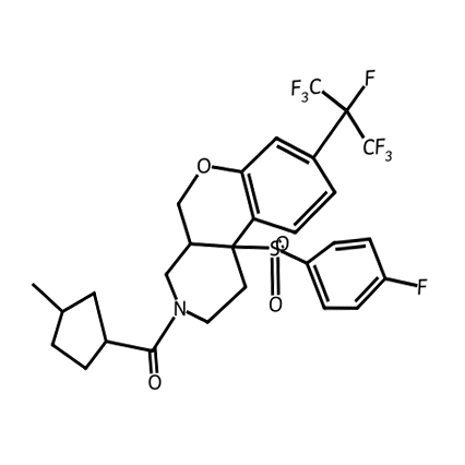 CC1CCC(C(=O)N2CCC3(S(=O)(=O)c4ccc(F)cc4)c4ccc(C(F)(C(F)(F)F)C(F)(F)F)cc4OCC3C2)C1